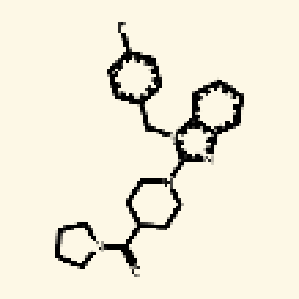 O=C(C1CCN(c2nc3ccccc3n2Cc2ccc(F)cc2)CC1)N1CCCC1